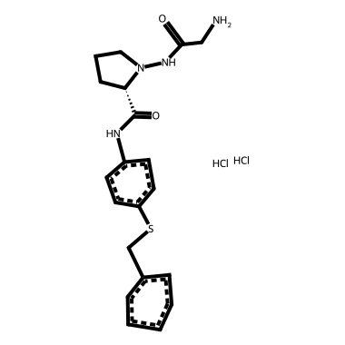 Cl.Cl.NCC(=O)NN1CCC[C@H]1C(=O)Nc1ccc(SCc2ccccc2)cc1